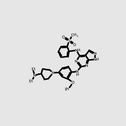 CCN(CC)C1CCN(c2ccc(Nc3nc(Nc4ccccc4S(C)(=O)=O)c4cn[nH]c4n3)c(OC(C)C)c2)CC1